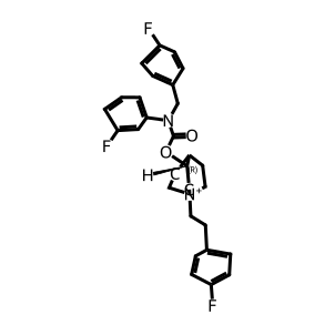 O=C(O[C@H]1C[N+]2(CCc3ccc(F)cc3)CCC1CC2)N(Cc1ccc(F)cc1)c1cccc(F)c1